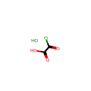 Cl.O=C(O)C(=O)Cl